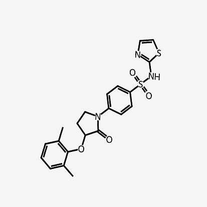 Cc1cccc(C)c1OC1CCN(c2ccc(S(=O)(=O)Nc3nccs3)cc2)C1=O